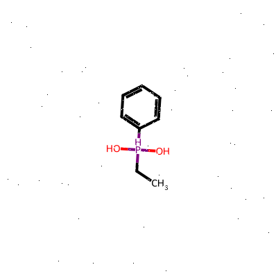 CC[PH](O)(O)c1ccccc1